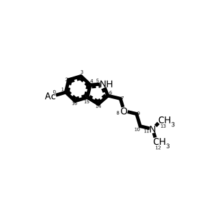 CC(=O)c1ccc2[nH]c(COCCN(C)C)cc2c1